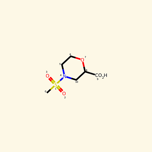 CS(=O)(=O)N1CCOC(C(=O)O)C1